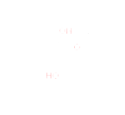 C=CCOC=C.OCCO